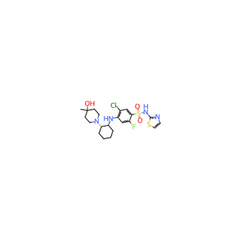 CC1(O)CCN([C@H]2CCCC[C@@H]2Nc2cc(F)c(S(=O)(=O)Nc3nccs3)cc2Cl)CC1